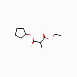 CCOC(=O)C(C)C(=O)OC1CCCC1